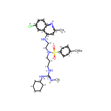 COc1ccc(S(=O)(=O)N(CCCN/C(=N\C#N)NC2CCCCC2)CCNc2cc(C)nc3ccc(Cl)cc23)cc1